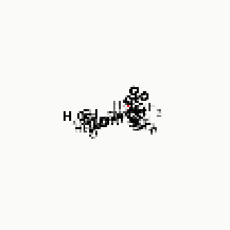 CC(C)(C)OC(=O)N[C@@H](Cc1ccc(OC(=O)NCC[C@H](NC(=O)OC(C)(C)C)C(=O)N[C@@H](CSC(c2ccccc2)(c2ccccc2)c2ccccc2)C(N)=O)cc1)C(=O)O